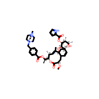 CO[C@H]1CC2C=C[C@@H]3C[C@]2(O[C@H]3[C@H](OC(=O)c2ccc[nH]2)[C@H](C)[C@H](C)O)/C(C)=C/[C@@H](C)[C@@H]([C@@H](C)OC(=O)c2ccc(C[N+]34CC[N+](C)(CC3)CC4)cc2)OC1=O